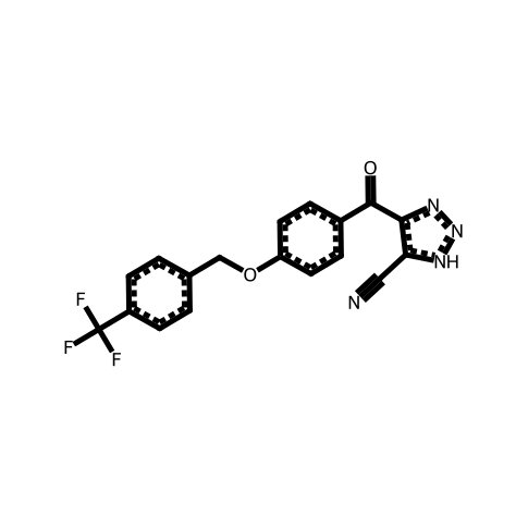 N#Cc1[nH]nnc1C(=O)c1ccc(OCc2ccc(C(F)(F)F)cc2)cc1